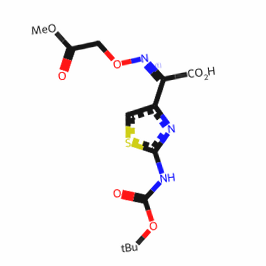 COC(=O)CO/N=C(/C(=O)O)c1csc(NC(=O)OC(C)(C)C)n1